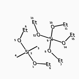 CCO[Si](C)(C)OCC.CCO[Si](OCC)(OCC)OCC